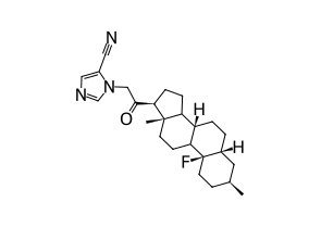 C[C@H]1CC[C@]2(F)C3CC[C@@]4(C)C(CC[C@@H]4C(=O)Cn4cncc4C#N)[C@@H]3CC[C@@H]2C1